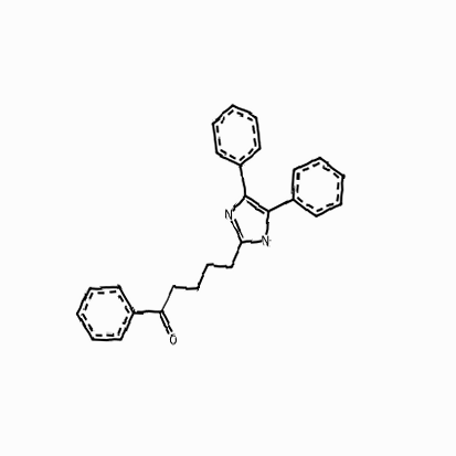 O=C(CCCCC1=NC(c2ccccc2)=C(c2ccccc2)[N]1)c1ccccc1